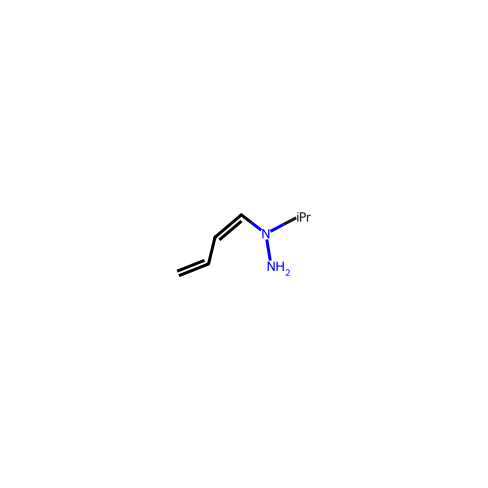 C=C/C=C\N(N)C(C)C